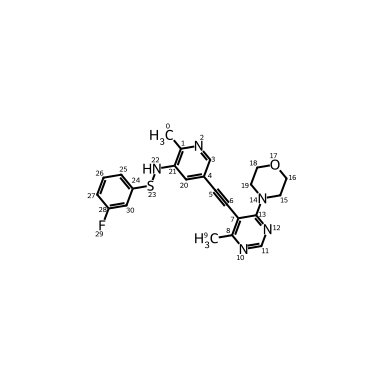 Cc1ncc(C#Cc2c(C)ncnc2N2CCOCC2)cc1NSc1cccc(F)c1